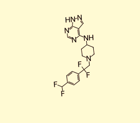 FC(F)c1ccc(C(F)(F)CN2CCC(Nc3ncnc4[nH]ncc34)CC2)cc1